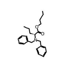 CCCCOC(=O)[C@H](CCC)N(Cc1ccccc1)Cc1ccccc1